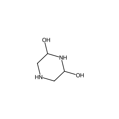 OC1CNCC(O)N1